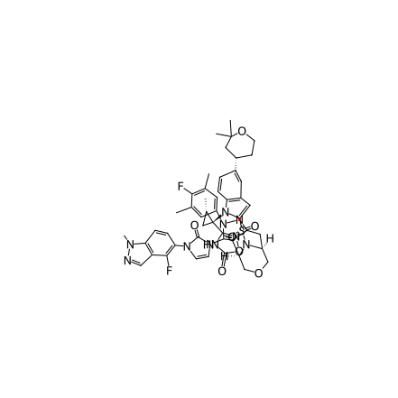 Cc1cc(-n2nc3c(c2-n2ccn(-c4ccc5c(cnn5C)c4F)c2=O)[C@@H]2COC[C@H](C3)N2S(=O)(=O)c2cc3cc([C@H]4CCOC(C)(C)C4)ccc3n2[C@@]2(c3noc(=O)[nH]3)C[C@@H]2C)cc(C)c1F